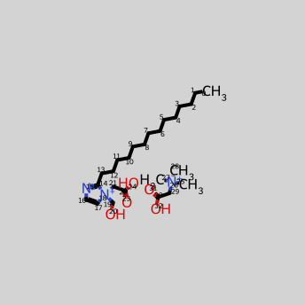 CCCCCCCCCCCCCCC1=NC=C[N+]1(CO)CC(=O)O.C[N+](C)(C)CC(=O)O